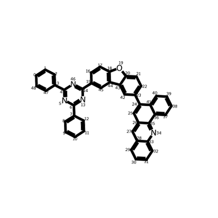 c1ccc(-c2nc(-c3ccccc3)nc(-c3ccc4oc5ccc(-c6cc7cc8ccccc8nc7c7ccccc67)cc5c4c3)n2)cc1